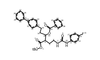 CC(C)(C)OC(=O)C(CCNC(=O)Nc1ccc(F)cc1)C(CCc1ccc(-c2ccccc2)cc1)OC(=O)c1ccccc1